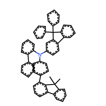 CC1(C)c2ccccc2-c2cccc(-c3ccc(N(c4ccc5c(c4)C(c4ccccc4)(c4ccccc4)c4ccccc4-5)c4ccccc4-c4ccccc4)cc3)c21